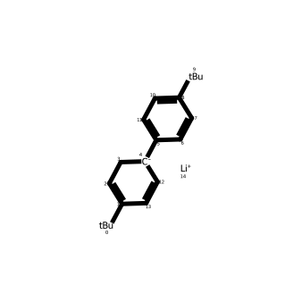 CC(C)(C)C1=CC[C-](c2ccc(C(C)(C)C)cc2)C=C1.[Li+]